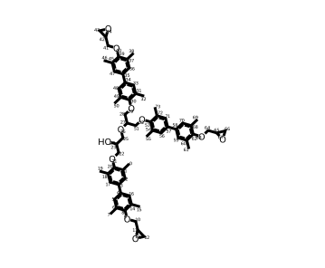 Cc1cc(-c2cc(C)c(OCC3CO3)c(C)c2)cc(C)c1OCC(O)COC(COc1c(C)cc(-c2cc(C)c(OCC3CO3)c(C)c2)cc1C)COc1c(C)cc(-c2cc(C)c(OCC3CO3)c(C)c2)cc1C